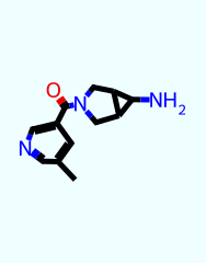 Cc1cncc(C(=O)N2CC3C(N)C3C2)c1